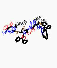 COCCn1c(SC=CC2=C(C(=O)OC(c3ccccc3)c3ccccc3)N3C(=O)C(NC(=O)C(=NOC)c4csc(NC(c5ccccc5)(c5ccccc5)c5ccccc5)n4)C3SC2)n[nH]c(=O)c1=O